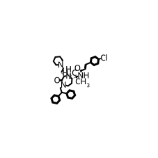 CC(C)(NC(=O)/C=C/c1ccc(Cl)cc1)[C@@H]1CCN(CC(c2ccccc2)c2ccccc2)C(=O)[C@H](CCN2CCCCC2)N1